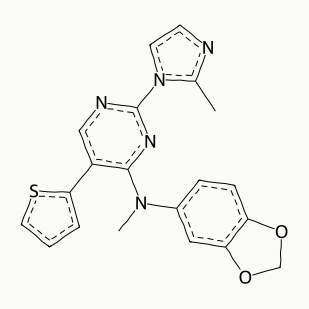 Cc1nccn1-c1ncc(-c2cccs2)c(N(C)c2ccc3c(c2)OCO3)n1